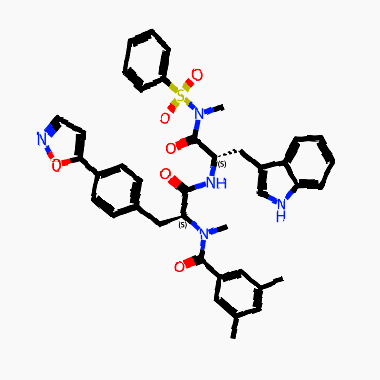 Cc1cc(C)cc(C(=O)N(C)[C@@H](Cc2ccc(-c3ccno3)cc2)C(=O)N[C@@H](Cc2c[nH]c3ccccc23)C(=O)N(C)S(=O)(=O)c2ccccc2)c1